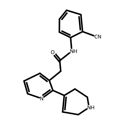 N#Cc1ccccc1NC(=O)Cc1cccnc1C1=CCNCC1